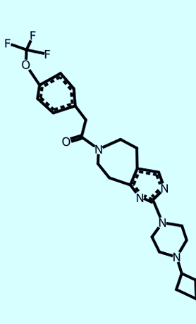 O=C(Cc1ccc(OC(F)(F)F)cc1)N1CCc2cnc(N3CCN(C4CCC4)CC3)nc2CC1